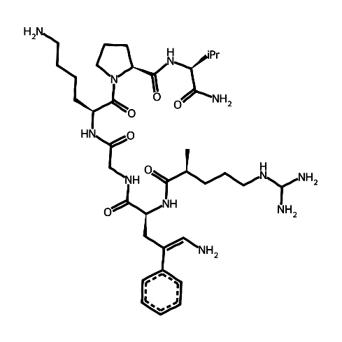 CC(C)[C@H](NC(=O)[C@@H]1CCCN1C(=O)[C@H](CCCCN)NC(=O)CNC(=O)[C@H](C/C(=C/N)c1ccccc1)NC(=O)[C@@H](C)CCCNC(N)N)C(N)=O